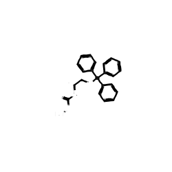 CC(C)(C)OC(=O)[N][C@H](C=O)CSC(c1ccccc1)(c1ccccc1)c1ccccc1